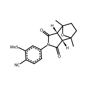 CSc1cc(N2C(=O)[C@@H]3[C@H](C2=O)C2(C)CCC3(C)O2)ccc1C#N